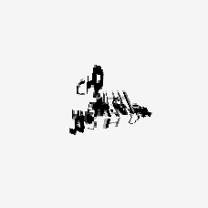 CCc1ccc(NC(=O)OCC(C)(NC(=O)CNC(=O)OC(C)(C)C)C(=O)NCc2ccccc2Cl)cc1